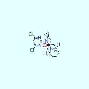 CN(c1nc(Cl)cc(Cl)n1)[C@@H]1C[C@H]2CCC[C@@H](C1)N2C(=O)CC1CC1